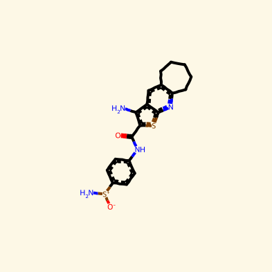 Nc1c(C(=O)Nc2ccc([S+](N)[O-])cc2)sc2nc3c(cc12)CCCCC3